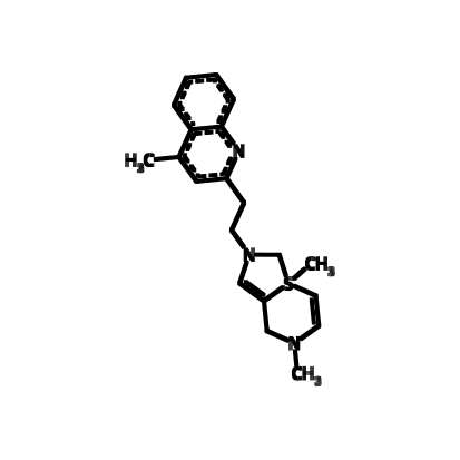 Cc1cc(CCN2C=C3CN(C)C=CS3(C)C2)nc2ccccc12